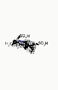 C=C(C)c1ccc2c(c1)C(C)(C)/C(=C\C=C\C1=[N+](CCCS(=O)(=O)O)c3c(cc(-c4cc(C(=O)NCC)nc(C(=O)NCCS(=O)(=O)O)c4)c4sccc34)[C@]1(C)CCC)N2CCCS(=O)(=O)O